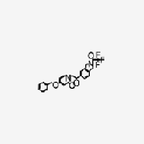 O=C(Cn1ccc(OCc2ccccc2)cc1=O)c1ccc2c(c1)CN(C(=O)C(F)(F)F)C2